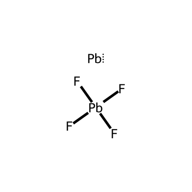 [F][Pb]([F])([F])[F].[Pb]